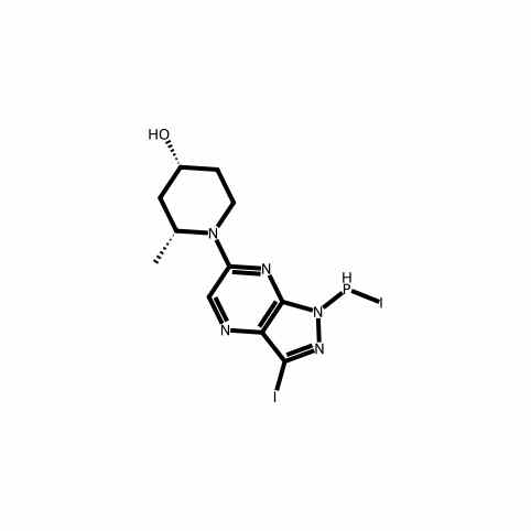 C[C@@H]1C[C@H](O)CCN1c1cnc2c(I)nn(PI)c2n1